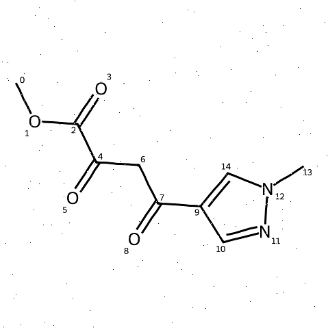 COC(=O)C(=O)CC(=O)c1cnn(C)c1